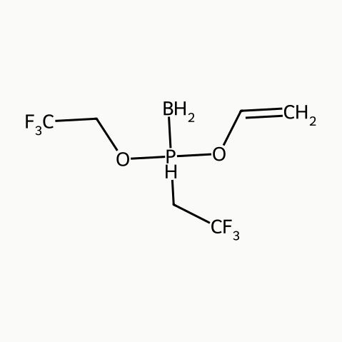 B[PH](CC(F)(F)F)(OC=C)OCC(F)(F)F